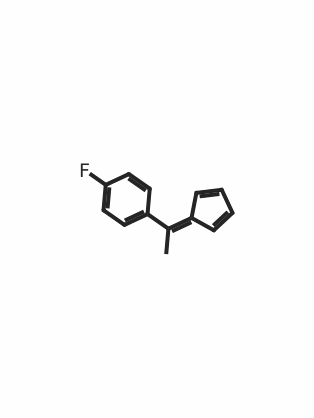 CC(=C1C=CC=C1)c1ccc(F)cc1